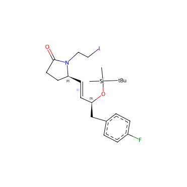 CC(C)(C)[Si](C)(C)O[C@H](/C=C/[C@H]1CCC(=O)N1CCI)Cc1ccc(F)cc1